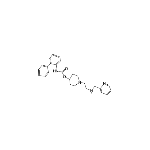 CN(CCN1CCC(OC(=O)Nc2ccccc2-c2ccccc2)CC1)Cc1ccccn1